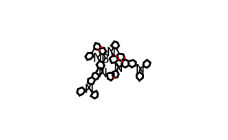 c1ccc(-c2ccccc2N2c3cc4c5cc6ccc(N(c7ccccc7)c7ccccc7)cc6cc5n(-c5ccccc5)c4cc3B3c4cc5c(cc4N(c4ccccc4-c4ccccc4)c4cccc2c43)c2cc3ccc(N(c4ccccc4)c4ccccc4)cc3cc2n5-c2ccccc2)cc1